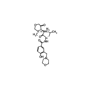 CC(C)C[C@H](NC(=O)c1ccc(O)c(CN2CCOCC2)c1)C(=O)N[C@@H]1C(=O)COC[C@H]1C